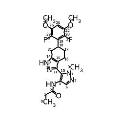 CCC(=O)Nc1cnn(C)c1-c1n[nH]c2c1CCC(c1c(F)c(OC)cc(OC)c1F)C2